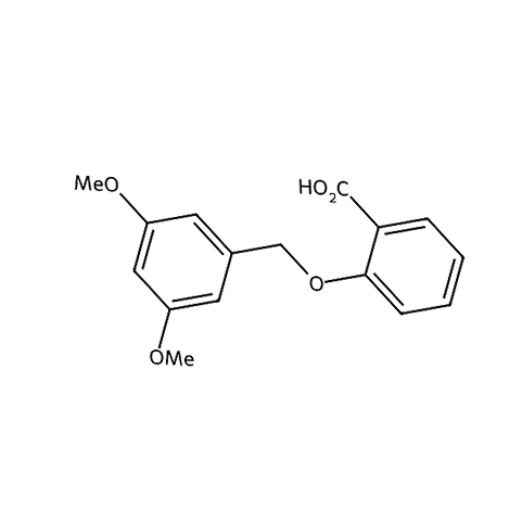 COc1cc(COc2ccccc2C(=O)O)cc(OC)c1